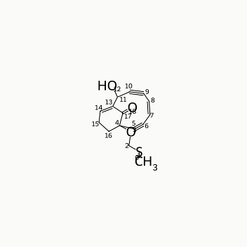 CSCOC12C#CC=CC#CC(O)C(=CCC1)C2=O